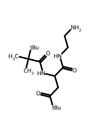 CC(C)(C)C(=O)CC(NC(=O)C(C)(C)C(C)(C)C)C(=O)NCCN